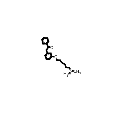 CN(C)CCCCCCOc1cccc(CC(=O)c2ccccc2)c1